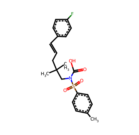 Cc1ccc(S(=O)(=O)N(CC(C)(C)CC=Cc2ccc(F)cc2)C(=O)O)cc1